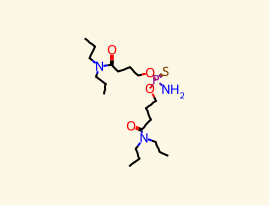 CCCN(CCC)C(=O)CCCOP(N)(=S)OCCCC(=O)N(CCC)CCC